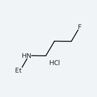 CCNCCCF.Cl